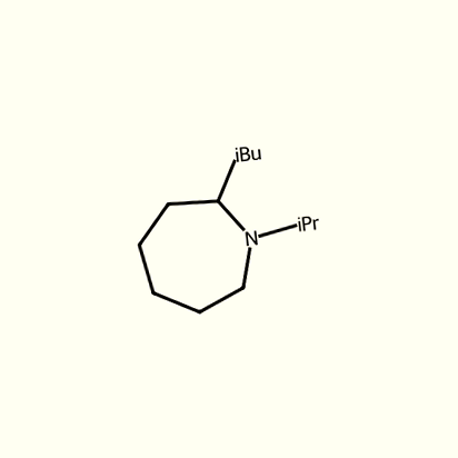 CCC(C)C1CCCCCN1C(C)C